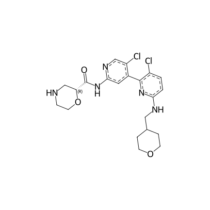 O=C(Nc1cc(-c2nc(NCC3CCOCC3)ccc2Cl)c(Cl)cn1)[C@H]1CNCCO1